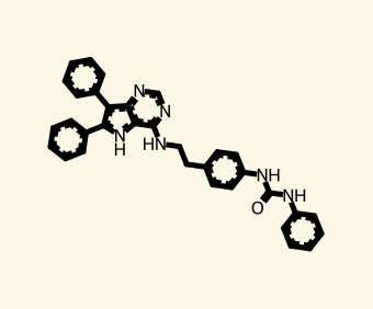 O=C(Nc1ccccc1)Nc1ccc(CCNc2ncnc3c(-c4ccccc4)c(-c4ccccc4)[nH]c23)cc1